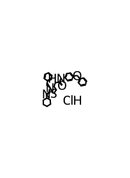 Cl.O=C(CC1CSC(=NC2CCCCC2)N1Cc1ccccc1)Nc1ccc(Oc2ccccc2)cc1